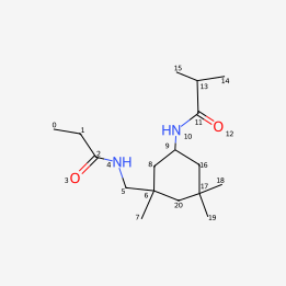 CCC(=O)NCC1(C)CC(NC(=O)C(C)C)CC(C)(C)C1